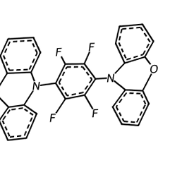 Fc1c(F)c(N2c3ccccc3Oc3ccccc32)c(F)c(F)c1N1c2ccccc2Oc2ccccc21